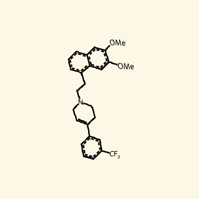 COc1cc2cccc(CCN3CC=C(c4cccc(C(F)(F)F)c4)CC3)c2cc1OC